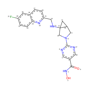 O=C(NO)c1cnc(N2CC3CC3(NCc3ccc4cc(F)ccc4n3)C2)nc1